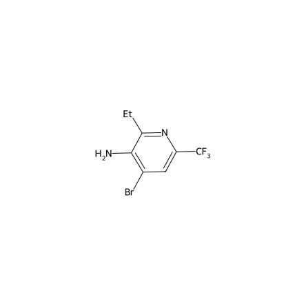 CCc1nc(C(F)(F)F)cc(Br)c1N